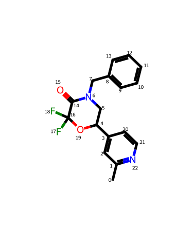 Cc1cc(C2CN(Cc3ccccc3)C(=O)C(F)(F)O2)ccn1